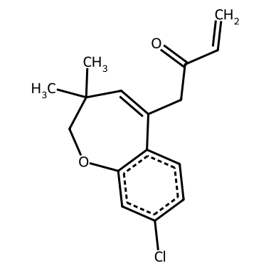 C=CC(=O)CC1=CC(C)(C)COc2cc(Cl)ccc21